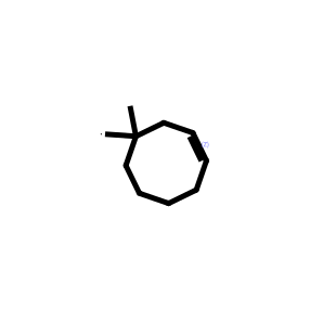 [CH2]C1(C)C/C=C\CCCC1